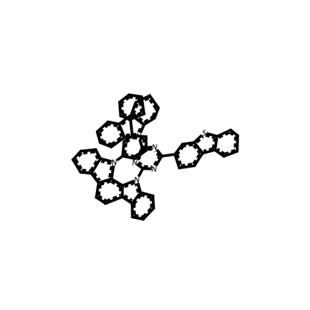 c1ccc(-c2cccc(-n3c4ccccc4c4ccc5c6ccccc6n(-c6nc(-c7ccc8c(c7)sc7ccccc78)nc(-n7c8ccccc8c8ccccc87)n6)c5c43)c2)cc1